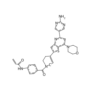 C=CC(=O)Nc1ccc(C(=O)N2CC=C(c3cc4nc(-c5cnc(N)nc5)cc(N5CCOCC5)c4s3)CC2)cc1